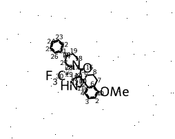 COc1cccc2c1CCC[C@]21CNC[C@H]1C(=O)N1CC[C@@H](c2ccccc2)C[C@H]1CC(F)(F)F